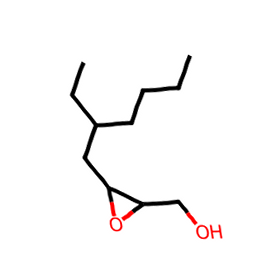 CCCCC(CC)CC1OC1CO